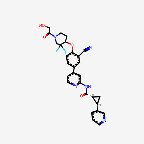 N#Cc1cc(-c2ccnc(NC(=O)[C@@H]3C[C@H]3c3cccnc3)c2)ccc1OC1CCN(C(=O)CO)CC1(F)F